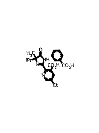 CCc1cnc(C2=NC(C)(C(C)C)C(=O)N2)c(C(=O)O)c1.O=C(O)c1ccccc1